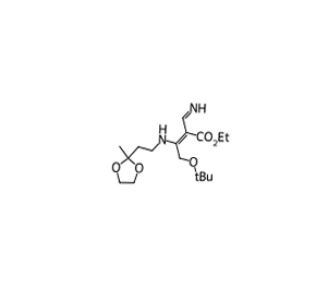 CCOC(=O)/C(C=N)=C(\COC(C)(C)C)NCCC1(C)OCCO1